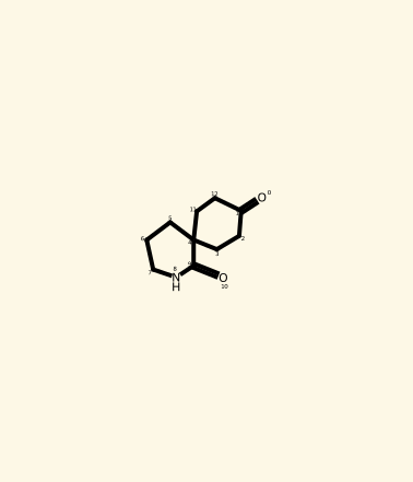 O=C1CCC2(CCCNC2=O)CC1